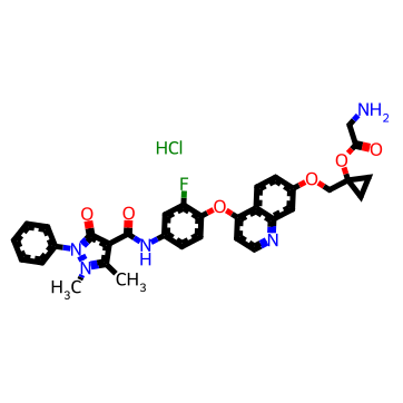 Cc1c(C(=O)Nc2ccc(Oc3ccnc4cc(OCC5(OC(=O)CN)CC5)ccc34)c(F)c2)c(=O)n(-c2ccccc2)n1C.Cl